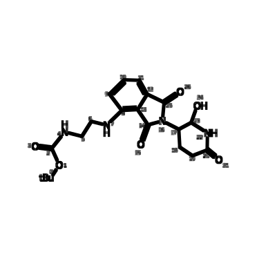 CC(C)(C)OC(=O)NCCNc1cccc2c1C(=O)N(C1CCC(=O)NC1O)C2=O